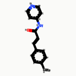 COc1ccc(/C=C/C(=O)Nc2ccncc2)cc1